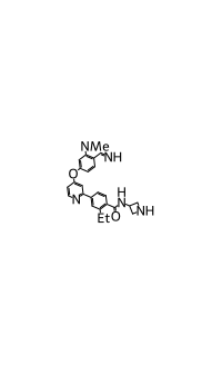 CCc1cc(-c2cc(Oc3ccc(C=N)c(NC)c3)ccn2)ccc1C(=O)NC1CNC1